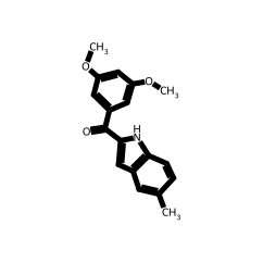 COc1cc(OC)cc(C(=O)c2cc3cc(C)ccc3[nH]2)c1